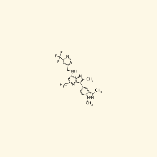 Cc1cc(NCc2ccnc(C(F)(F)F)c2)n2nc(C)c(-c3ccc4c(c3)c(C)nn4C)c2n1